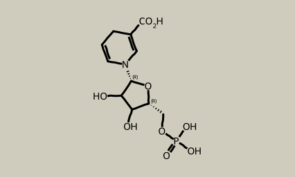 O=C(O)C1=CN([C@@H]2O[C@H](COP(=O)(O)O)C(O)C2O)C=CC1